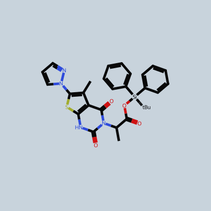 Cc1c(-n2cccn2)sc2[nH]c(=O)n(C(C)C(=O)O[Si](c3ccccc3)(c3ccccc3)C(C)(C)C)c(=O)c12